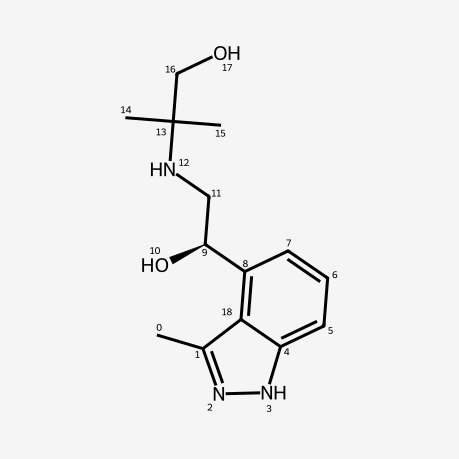 Cc1n[nH]c2cccc([C@@H](O)CNC(C)(C)CO)c12